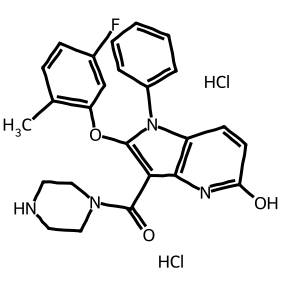 Cc1ccc(F)cc1Oc1c(C(=O)N2CCNCC2)c2nc(O)ccc2n1-c1ccccc1.Cl.Cl